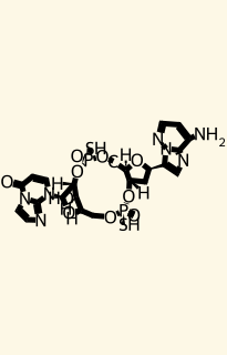 Nc1ccnn2c([C@H]3C[C@@H]4O[P@@](=O)(S)OC[C@H]5O[C@@H](n6ccc(=O)n7ccnc67)[C@H](OP(=O)(S)OC[C@H]4O3)[C@@H]5O)cnc12